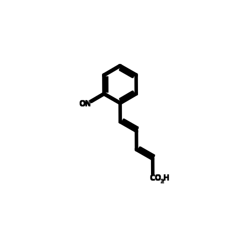 O=Nc1ccccc1/C=C/C=C/C(=O)O